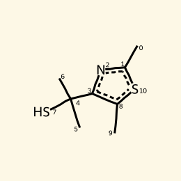 Cc1nc(C(C)(C)S)c(C)s1